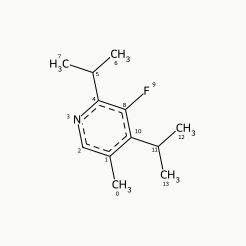 Cc1cnc(C(C)C)c(F)c1C(C)C